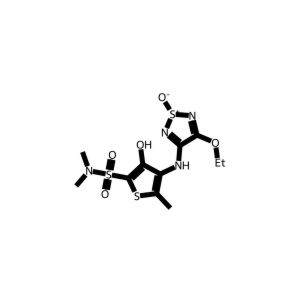 CCOc1n[s+]([O-])nc1Nc1c(C)sc(S(=O)(=O)N(C)C)c1O